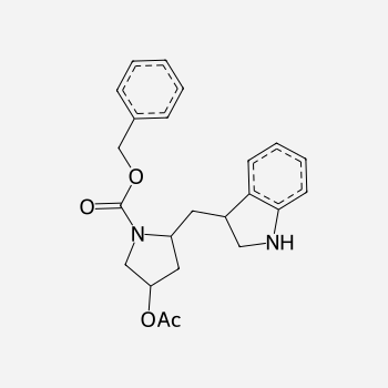 CC(=O)OC1CC(CC2CNc3ccccc32)N(C(=O)OCc2ccccc2)C1